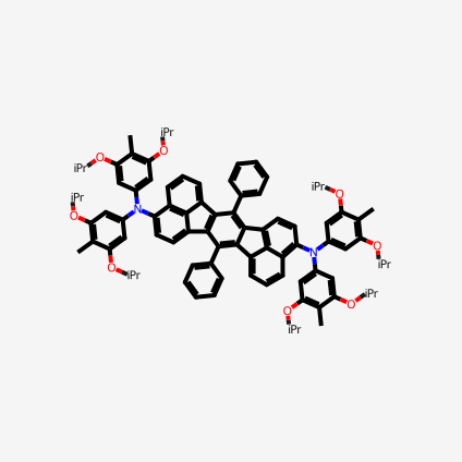 Cc1c(OC(C)C)cc(N(c2cc(OC(C)C)c(C)c(OC(C)C)c2)c2ccc3c4c(-c5ccccc5)c5c6cccc7c(N(c8cc(OC(C)C)c(C)c(OC(C)C)c8)c8cc(OC(C)C)c(C)c(OC(C)C)c8)ccc(c5c(-c5ccccc5)c4c4cccc2c43)c76)cc1OC(C)C